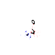 Nc1ncnc2c1ncn2[C@@H]1O[C@H](COc2ccccc2)[C@@H](O)[C@H]1O